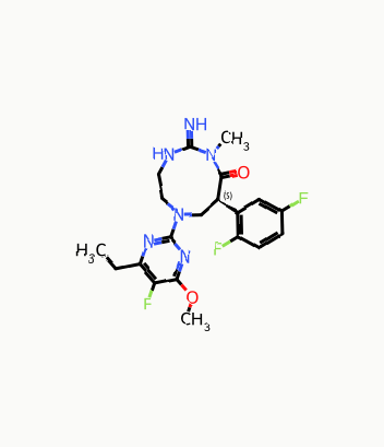 CCc1nc(N2CCNC(=N)N(C)C(=O)[C@@H](c3cc(F)ccc3F)C2)nc(OC)c1F